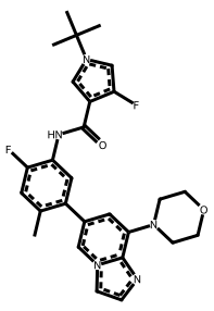 Cc1cc(F)c(NC(=O)c2cn(C(C)(C)C)cc2F)cc1-c1cc(N2CCOCC2)c2nccn2c1